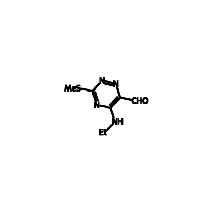 CCNc1nc(SC)nnc1C=O